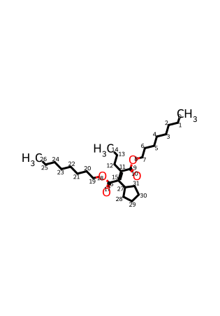 CCCCCCCCOC(=O)C(CCC)=C(C(=O)OCCCCCCCC)C1CCCC1